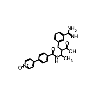 CC(NC(=O)c1ccc(-c2cc[n+]([O-])cc2)cc1)C(Cc1cccc(C(=N)N)c1)C(=O)O